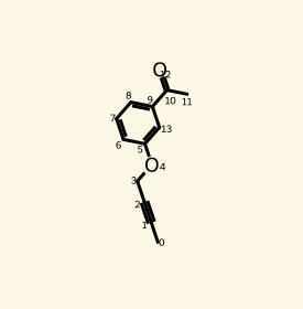 CC#CCOc1cccc(C(C)=O)c1